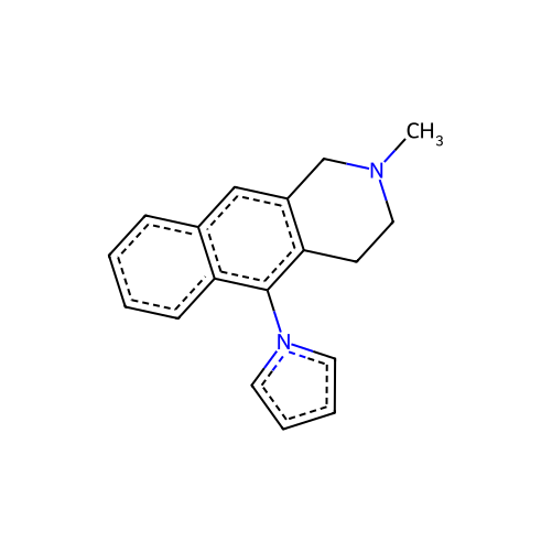 CN1CCc2c(cc3ccccc3c2-n2cccc2)C1